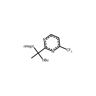 CCCCCCCC(C)(CCCC)c1nccc(C(F)(F)F)n1